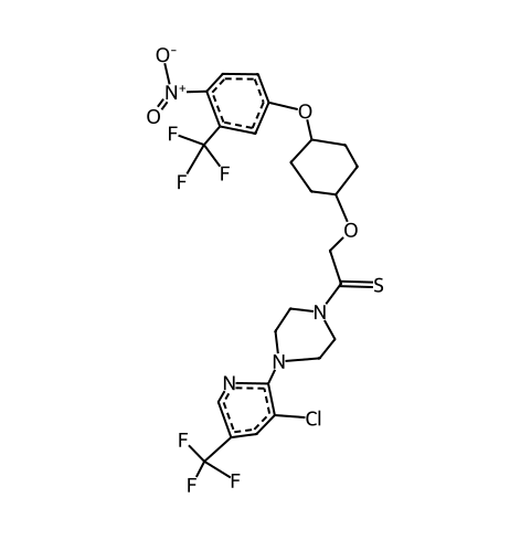 O=[N+]([O-])c1ccc(OC2CCC(OCC(=S)N3CCN(c4ncc(C(F)(F)F)cc4Cl)CC3)CC2)cc1C(F)(F)F